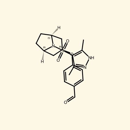 Cc1n[nH]c(C)c1S(=O)(=O)N1[C@@H]2CC[C@H]1C[C@@H](Oc1ccc(C=O)cc1)C2